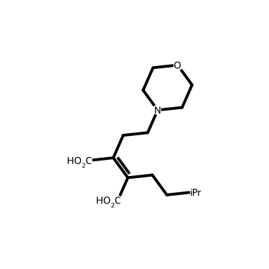 CC(C)CCC(C(=O)O)=C(CCN1CCOCC1)C(=O)O